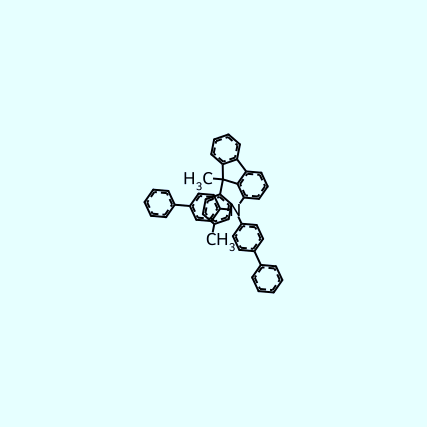 Cc1ccc(C2(C)c3ccccc3-c3cccc(N(c4ccc(-c5ccccc5)cc4)c4ccc(-c5ccccc5)cc4)c32)cc1